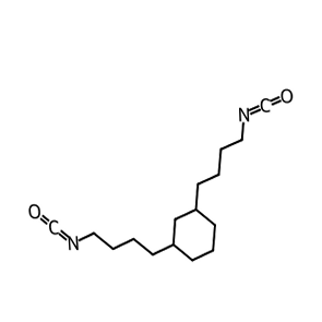 O=C=NCCCCC1CCCC(CCCCN=C=O)C1